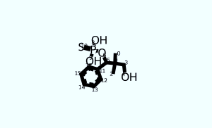 CC(C)(CO)C(OP(O)(O)=S)c1ccccc1